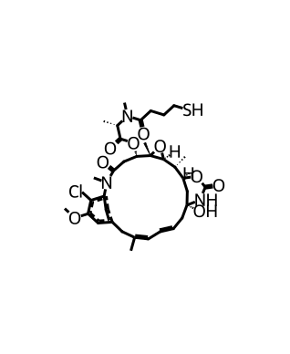 COc1cc2cc(c1Cl)N(C)C(=O)C[C@H](OC(=O)[C@H](C)N(C)C(=O)CCCS)[C@]1(C)O[C@H]1[C@H](C)[C@@H]1C[C@](O)(C/C=C/C=C(/C)C2)NC(=O)O1